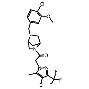 COc1cc(CN2CC3CC2CN3C(=O)Cn2nc(C(F)(F)F)c(Cl)c2C)ccc1Cl